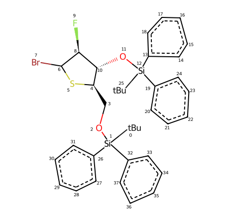 CC(C)(C)[Si](OC[C@H]1SC(Br)[C@@H](F)[C@@H]1O[Si](c1ccccc1)(c1ccccc1)C(C)(C)C)(c1ccccc1)c1ccccc1